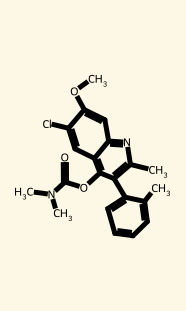 COc1cc2nc(C)c(-c3ccccc3C)c(OC(=O)N(C)C)c2cc1Cl